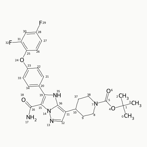 CC(C)(C)OC(=O)N1CCC(c2cnn3c(C(N)=O)c(-c4ccc(Oc5ccc(F)cc5F)cc4)[nH]c23)CC1